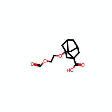 O=COCCOC12CC3CC(C1)CC(C(=O)O)(C3)C2